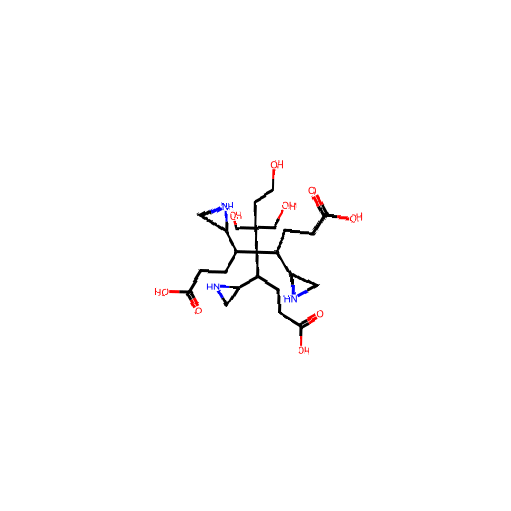 O=C(O)CCC(C1CN1)C(C(CCC(=O)O)C1CN1)(C(CCC(=O)O)C1CN1)C(CO)(CO)CCO